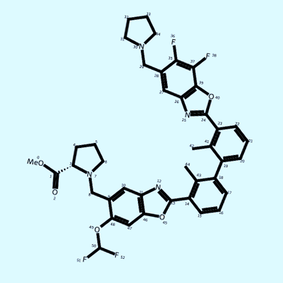 COC(=O)[C@@H]1CCCN1Cc1cc2nc(-c3cccc(-c4cccc(-c5nc6cc(CN7CCCC7)c(F)c(F)c6o5)c4C)c3C)oc2cc1OC(F)F